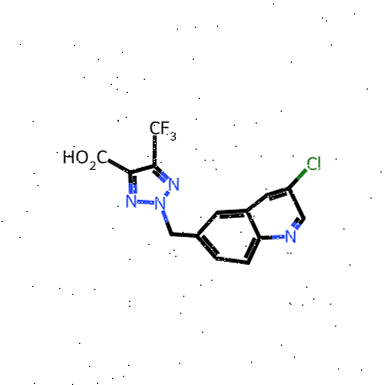 O=C(O)c1nn(Cc2ccc3ncc(Cl)cc3c2)nc1C(F)(F)F